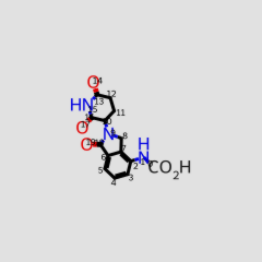 O=C(O)Nc1cccc2c1CN(C1CCC(=O)NC1=O)C2=O